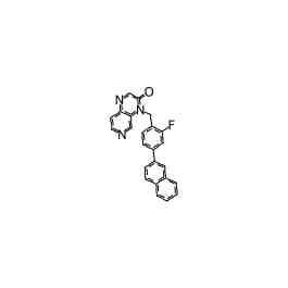 O=c1cnc2ccncc2n1Cc1ccc(-c2ccc3ccccc3c2)cc1F